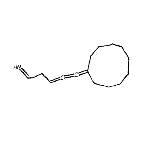 N=CCC=C=C=C1CCCCCCCCC1